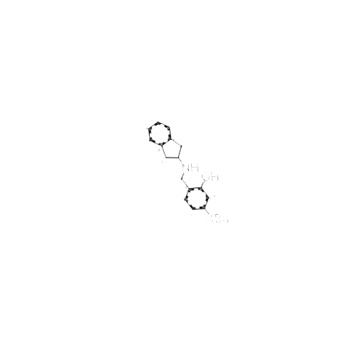 CC(C)(C)c1ccc(CNC2Cc3ccccc3C2)c(O)c1